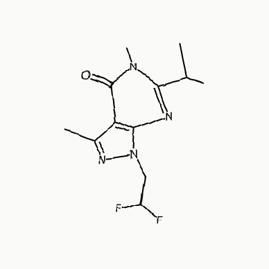 Cc1nn(CC(F)F)c2nc(C(C)C)n(C)c(=O)c12